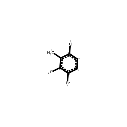 Cc1c(Cl)ccc(Br)c1F